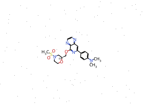 CN(C)c1ccc(-c2cc3nccnc3c(OC[C@@H]3CN(S(C)(=O)=O)CCO3)n2)cc1